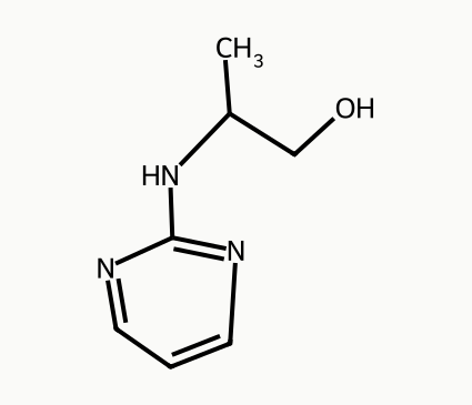 CC(CO)Nc1ncccn1